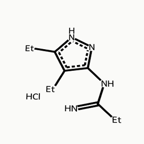 CCC(=N)Nc1n[nH]c(CC)c1CC.Cl